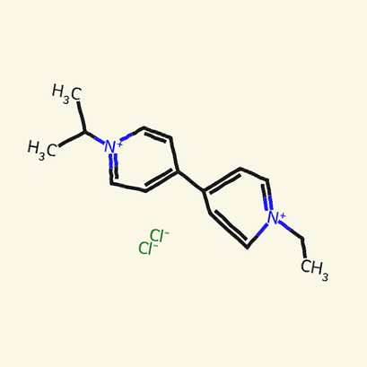 CC[n+]1ccc(-c2cc[n+](C(C)C)cc2)cc1.[Cl-].[Cl-]